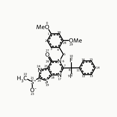 COc1ccc(Cn2c(C(F)(F)c3ccccc3)nc3sc([S+](C)[O-])nc3c2=O)c(OC)c1